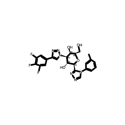 Cc1cccc(-n2cnnc2[C@@H]2O[C@H](CO)[C@H](O)[C@H](n3cc(-c4cc(F)c(F)c(F)c4)nn3)[C@H]2O)c1